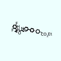 CCOC(=O)C[C@H]1CC[C@H](c2ccc(-c3ccc4nc(C(=O)NC5(c6cc(F)ccc6F)CC5)cn4c3)cc2)CC1